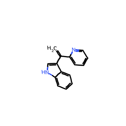 C=C(c1ccccn1)c1c[nH]c2ccccc12